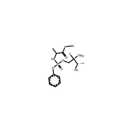 CO[C@](F)(COP(=O)(NC(C)C(=O)OC(C)C)Oc1ccccc1)[C@H](C)O